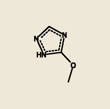 COc1ncn[nH]1